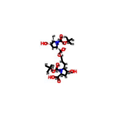 C[C@H]1[C@@H](O)C[C@@H](C(=O)OCCC[C@H]2[C@@H](O)C[C@@H](C(=O)O)N2C(=O)OC(C)(C)C)N1C(=O)OC(C)(C)C